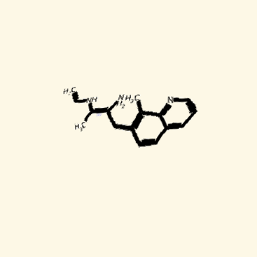 C=CN/C(C)=C(\N)Cc1ccc2cccnc2c1C